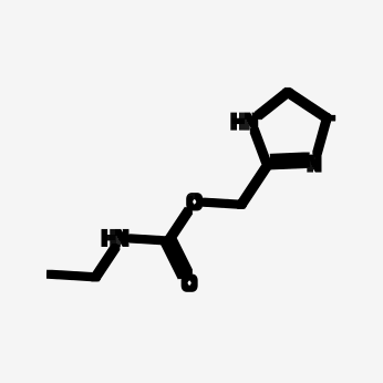 CCNC(=O)OCC1=N[CH]CN1